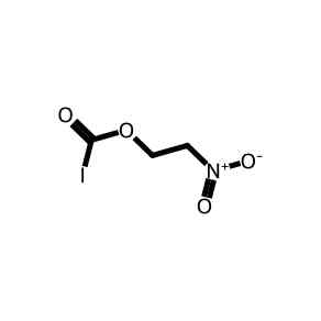 O=C(I)OCC[N+](=O)[O-]